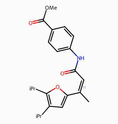 COC(=O)c1ccc(NC(=O)/C=C(/C)c2cc(C(C)C)c(C(C)C)o2)cc1